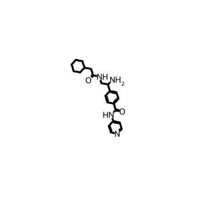 NC(CNC(=O)CC1CCCCC1)c1ccc(C(=O)Nc2ccncc2)cc1